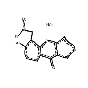 CCN(CC)Cc1c(O)ccc2c(=O)c3ccccc3sc12.Cl